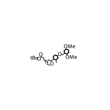 COc1ccc(OC)c(COc2ccc(C3CN(CCC(=O)OC(C)(C)C)CCO3)c(C)c2)c1